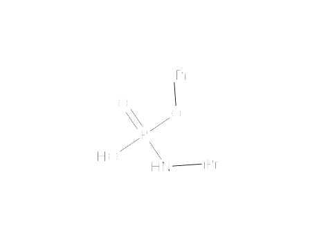 CC(C)NP(=O)(O)OC(C)C